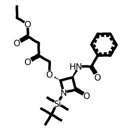 CCOC(=O)CC(=O)CO[C@@H]1[C@@H](NC(=O)c2ccccc2)C(=O)N1[Si](C)(C)C(C)(C)C